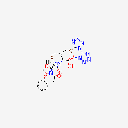 CO[C@@]1(N(Oc2ccccc2)C(C)=O)C(=O)N2C(C(=O)O)=C(CSc3nnnn3-c3nnn[nH]3)CS[C@H]21